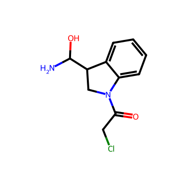 NC(O)C1CN(C(=O)CCl)c2ccccc21